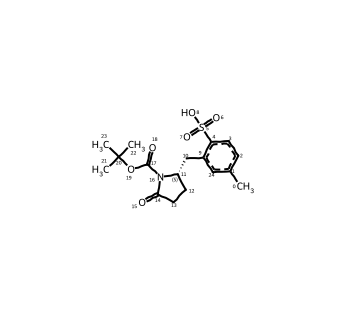 Cc1ccc(S(=O)(=O)O)c(C[C@@H]2CCC(=O)N2C(=O)OC(C)(C)C)c1